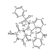 CN1C(=O)[C@@]2(S)C[C@]3(c4c[nH]c5ccccc45)c4ccccc4N(S(=O)(=O)c4ccccc4)[C@@H]3N2C(=O)[C@@H]1S